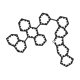 c1cc(-c2cccc3cc4c(cc23)oc2cc3ccccc3cc24)cc(-c2c3ccccc3c(-c3cccc4ccccc34)c3ccccc23)c1